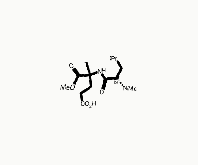 CN[C@@H](CC(C)C)C(=O)NC(C)(CCC(=O)O)C(=O)OC